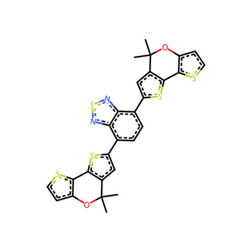 CC1(C)Oc2ccsc2-c2sc(-c3ccc(-c4cc5c(s4)-c4sccc4OC5(C)C)c4nsnc34)cc21